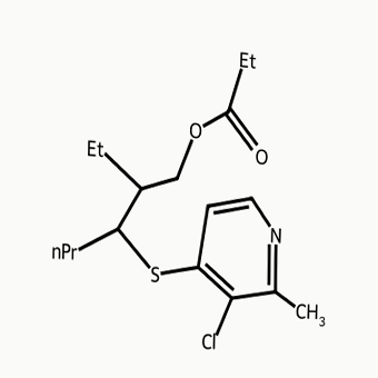 CCCC(Sc1ccnc(C)c1Cl)C(CC)COC(=O)CC